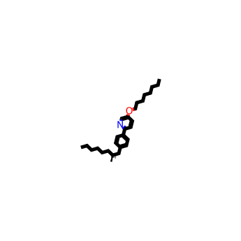 CCCCCCCCOc1ccc(-c2ccc(C[C@@H](C)CCCCCC)cc2)nc1